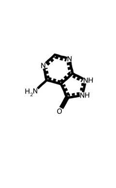 Nc1ncnc2[nH][nH]c(=O)c12